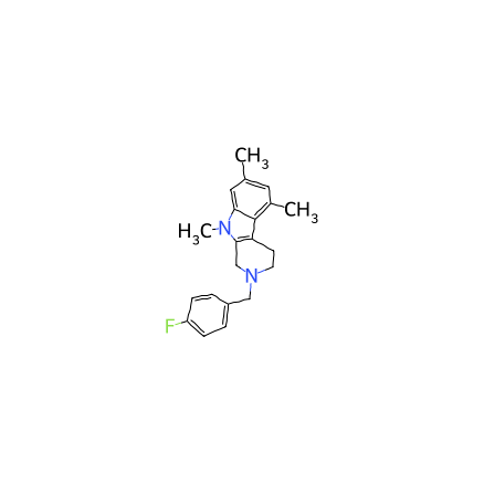 Cc1cc(C)c2c3c(n(C)c2c1)CN(Cc1ccc(F)cc1)CC3